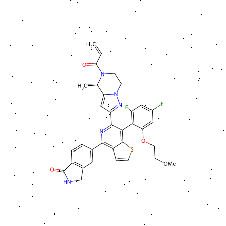 C=CC(=O)N1CCn2nc(-c3nc(-c4ccc5c(c4)CNC5=O)c4ccsc4c3-c3c(F)cc(F)cc3OCCOC)cc2[C@H]1C